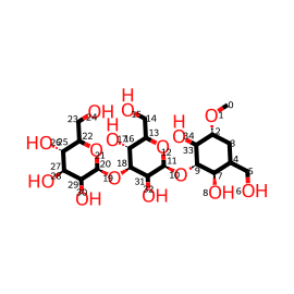 CO[C@@H]1CC(CO)[C@@H](O)[C@H](O[C@@H]2OC(CO)[C@@H](O)[C@H](O[C@@H]3OC(CO)[C@@H](O)[C@H](O)C3O)C2O)C1O